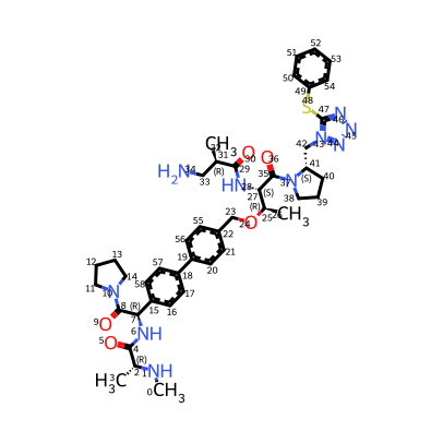 CN[C@H](C)C(=O)N[C@@H](C(=O)N1CCCC1)c1ccc(-c2ccc(CO[C@H](C)[C@H](NC(=O)[C@H](C)CN)C(=O)N3CCC[C@H]3Cn3nnnc3Sc3ccccc3)cc2)cc1